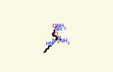 CCCCCCNC=Nc1sc(N)nc1-c1ccc(CNC(N)=O)o1